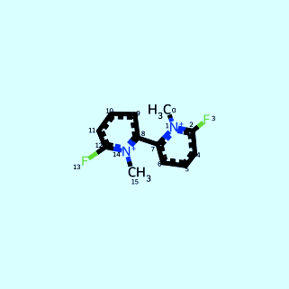 C[n+]1c(F)cccc1-c1cccc(F)[n+]1C